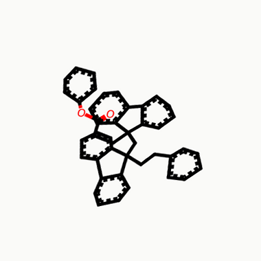 O=C(CCC1(CC2(CCc3ccccc3)c3ccccc3-c3ccccc32)c2ccccc2-c2ccccc21)Oc1ccccc1